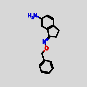 Nc1ccc2c(c1)C(=NOCc1ccccc1)CC2